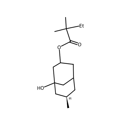 CCC(C)(C)C(=O)OC1CC2C[C@@H](C)CC(O)(C2)C1